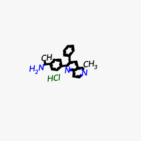 Cc1nccc2nc(-c3ccc(C(C)N)cc3)c(-c3ccccc3)cc12.Cl